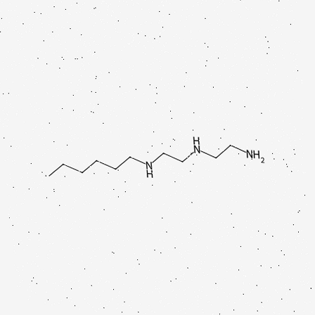 [CH2]CCCCCNCCNCCN